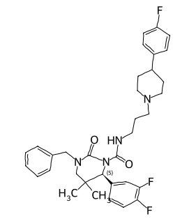 CC1(C)CN(Cc2ccccc2)C(=O)N(C(=O)NCCCN2CCC(c3ccc(F)cc3)CC2)[C@H]1c1ccc(F)c(F)c1